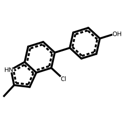 Cc1cc2c(Cl)c(-c3ccc(O)cc3)ccc2[nH]1